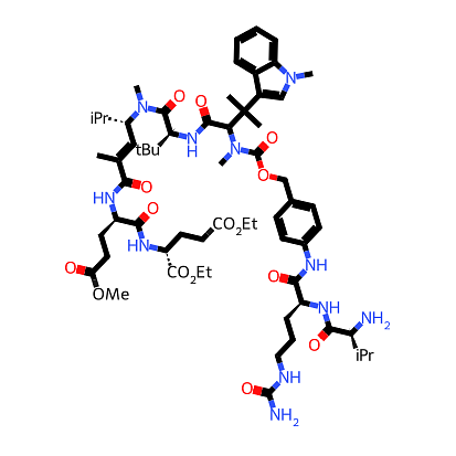 CCOC(=O)CC[C@@H](NC(=O)[C@@H](CCC(=O)OC)NC(=O)/C(C)=C/[C@H](C(C)C)N(C)C(=O)[C@@H](NC(=O)C(N(C)C(=O)OCc1ccc(NC(=O)[C@H](CCCNC(N)=O)NC(=O)[C@@H](N)C(C)C)cc1)C(C)(C)c1cn(C)c2ccccc12)C(C)(C)C)C(=O)OCC